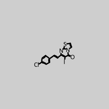 O=c1c(I)c(C=Cc2ccc(Cl)cc2)nc2sccn12